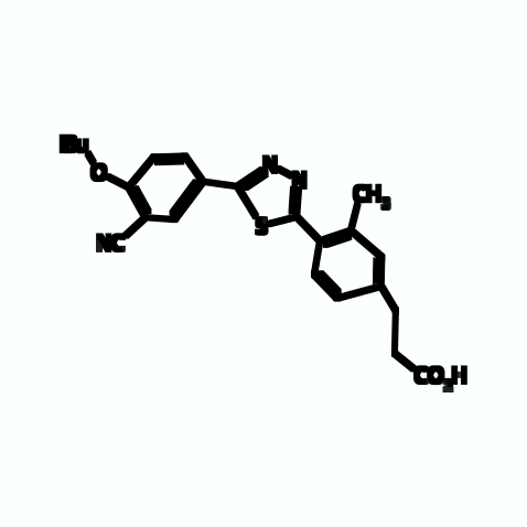 CCC(C)Oc1ccc(-c2nnc(-c3ccc(CCC(=O)O)cc3C)s2)cc1C#N